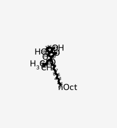 CCCCCCCCC=CCCCCCCCCOC(CC=C(C)C)C1=CC(=O)c2c(O)ccc(O)c2C1=O